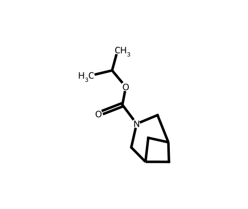 CC(C)OC(=O)N1CC2CC(C2)C1